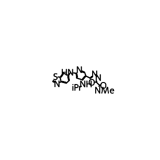 CNC(=O)c1nnc(-c2cnc(Nc3ccc4ncsc4c3)cc2NC(C)C)o1